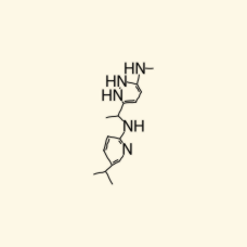 CNC1=CC=C(C(C)Nc2ccc(C(C)C)cn2)NN1